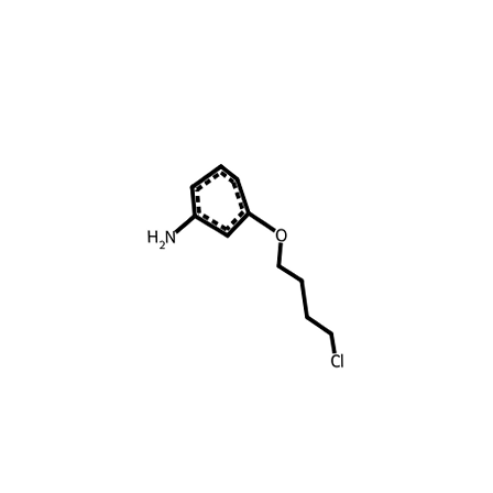 Nc1cccc(OCCCCCl)c1